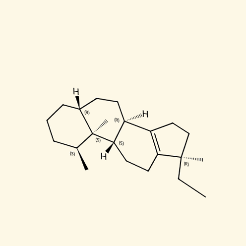 CC[C@]1(C)CCC2=C1CC[C@H]1[C@H]2CC[C@H]2CCC[C@H](C)[C@@]21C